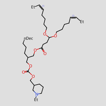 CC/C=C\CCCCOC(CCC(=O)OCC(CCCCCCC[CH]CCCCC)COC(=O)OCC1CCCN(CC)C1)OCCCC/C=C\CC